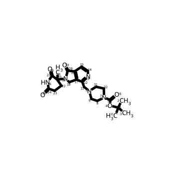 CC(C)(C)OC(=O)N1CCN(Cc2nccc3c2CN(C2(C)CCC(=O)NC2=O)C3=O)CC1